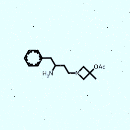 CC(=O)OC1(C)CN(CCC(N)Cc2ccccc2)C1